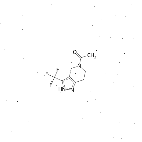 CC(=O)N1CCc2n[nH]c(C(F)(F)F)c2C1